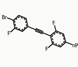 CCCc1cc(F)c(C#Cc2ccc(Br)c(F)c2)c(F)c1